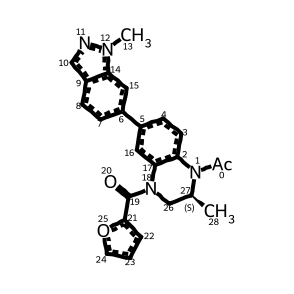 CC(=O)N1c2ccc(-c3ccc4cnn(C)c4c3)cc2N(C(=O)c2ccco2)C[C@@H]1C